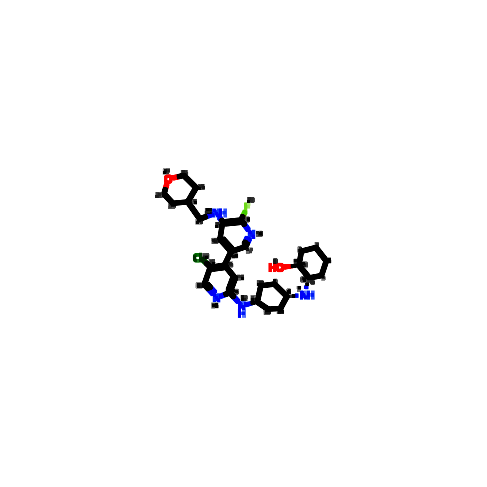 O[C@H]1CCCC[C@@H]1N[C@H]1CC[C@H](Nc2cc(-c3cnc(F)c(NCC4CCOCC4)c3)c(Cl)cn2)CC1